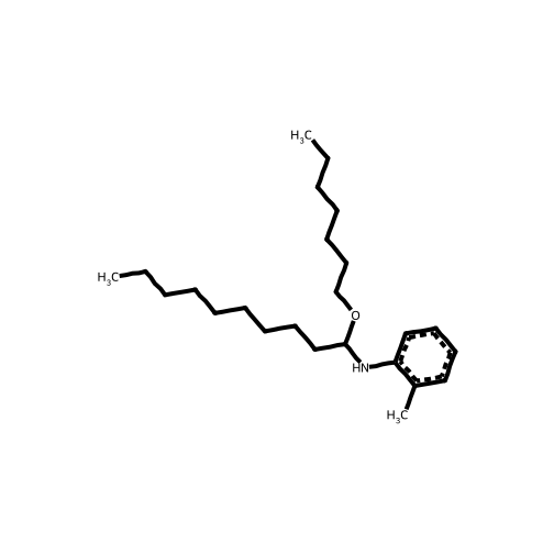 CCCCCCCCCC(Nc1ccccc1C)OCCCCCCC